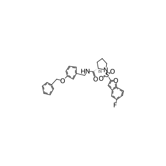 O=C(NCc1cccc(OCc2ccccc2)c1)[C@@H]1CCCN1S(=O)(=O)c1cc2cc(F)ccc2o1